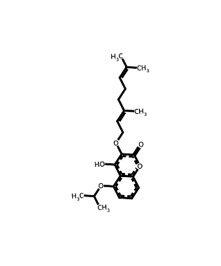 CC(C)=CCC/C(C)=C/COc1c(O)c2c(OC(C)C)cccc2oc1=O